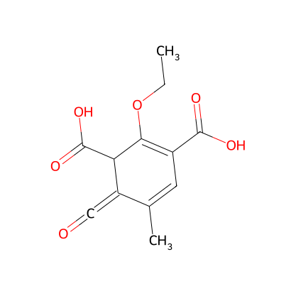 CCOC1=C(C(=O)O)C=C(C)C(=C=O)C1C(=O)O